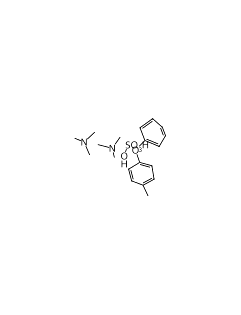 CN(C)C.CN(C)C.Cc1ccc(Oc2ccccc2)cc1.O=S(=O)(O)O